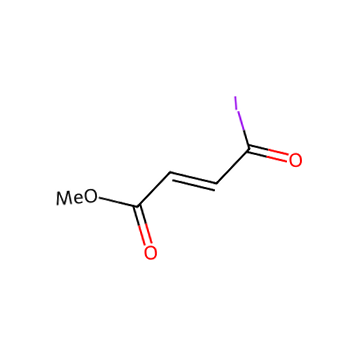 COC(=O)/C=C/C(=O)I